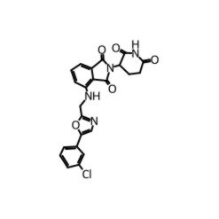 O=C1CCC(N2C(=O)c3cccc(NCc4ncc(-c5cccc(Cl)c5)o4)c3C2=O)C(=O)N1